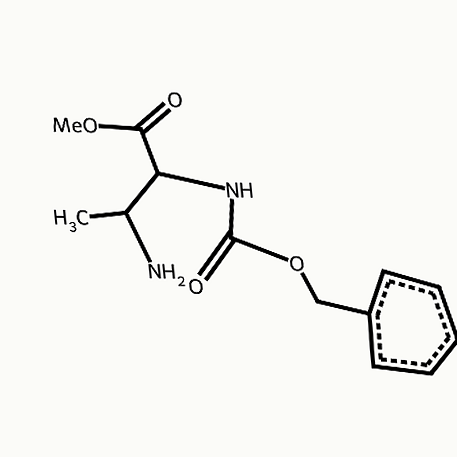 COC(=O)C(NC(=O)OCc1ccccc1)C(C)N